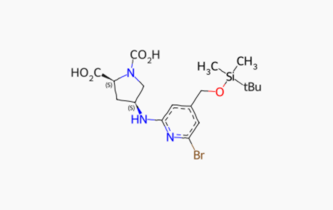 CC(C)(C)[Si](C)(C)OCc1cc(Br)nc(N[C@H]2C[C@@H](C(=O)O)N(C(=O)O)C2)c1